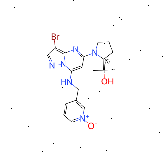 CC(C)(O)[C@@H]1CCCN1c1cc(NCc2ccc[n+]([O-])c2)n2ncc(Br)c2n1